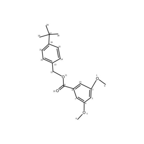 COc1cc(OC)cc(C(=O)OCc2ccc(C(C)(C)C)cc2)c1